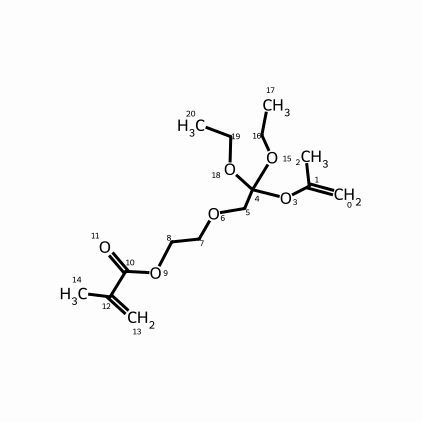 C=C(C)OC(COCCOC(=O)C(=C)C)(OCC)OCC